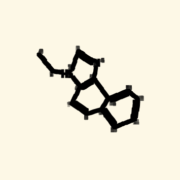 CC[SH]1C=Nc2c1ccc1ccccc21